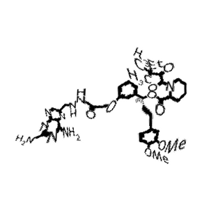 CCC(C)(C)C(=O)C(=O)N1CCCCC1C(=O)O[C@H](CCc1ccc(OC)c(OC)c1)c1cccc(OCC(=O)NNCc2cnc3nc(N)nc(N)c3n2)c1